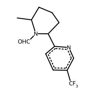 CC1CCCC(c2ccc(C(F)(F)F)cn2)N1C=O